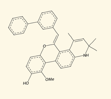 COc1c(O)ccc2c1-c1ccc3c(c1/C(=C/c1cccc(-c4ccccc4)c1)O2)C(C)=CC(C)(C)N3